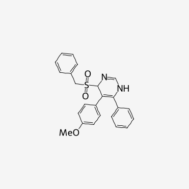 COc1ccc(C2=C(c3ccccc3)NC=NC2S(=O)(=O)Cc2ccccc2)cc1